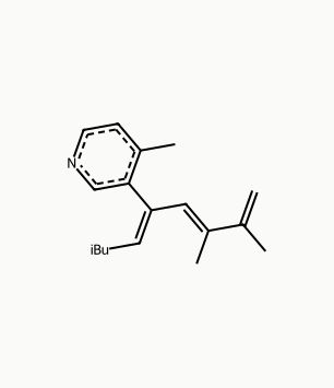 C=C(C)/C(C)=C/C(=C/C(C)CC)c1cnccc1C